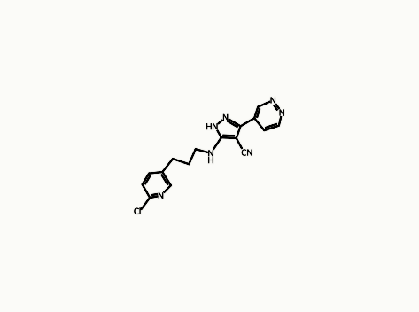 N#Cc1c(-c2ccnnc2)n[nH]c1NCCCc1ccc(Cl)nc1